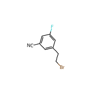 N#Cc1cc(F)cc(CCBr)c1